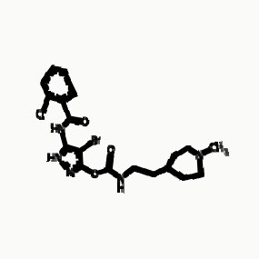 CN1CCC(CCNC(=O)Oc2n[nH]c(NC(=O)c3ccccc3Cl)c2Br)CC1